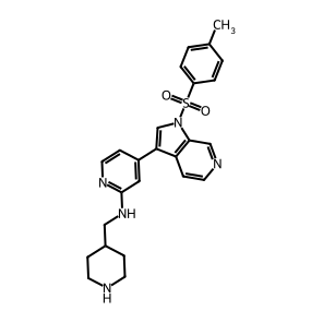 Cc1ccc(S(=O)(=O)n2cc(-c3ccnc(NCC4CCNCC4)c3)c3ccncc32)cc1